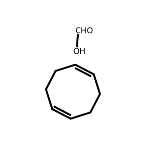 C1=CCCC=CCC1.O=CO